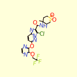 CC1(NC(=O)c2nc3ccc(Oc4nccnc4OCC(F)(F)F)nn3c2Cl)CCS(=O)(=O)CC1